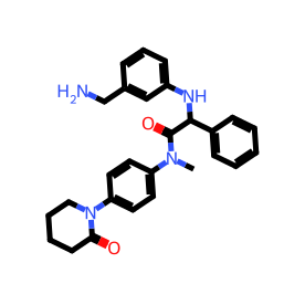 CN(C(=O)C(Nc1cccc(CN)c1)c1ccccc1)c1ccc(N2CCCCC2=O)cc1